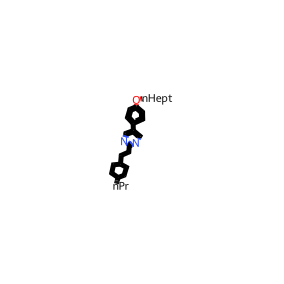 CCCCCCCOc1ccc(-c2cnc(CCC3CCC(CCC)CC3)nc2)cc1